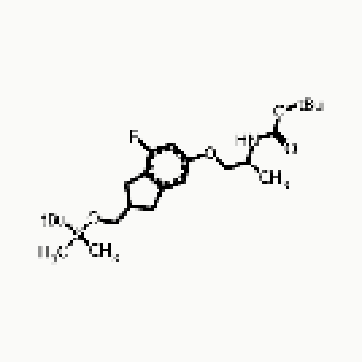 C[C@@H](COc1cc(F)c2c(c1)CC(CO[Si](C)(C)C(C)(C)C)C2)NC(=O)OC(C)(C)C